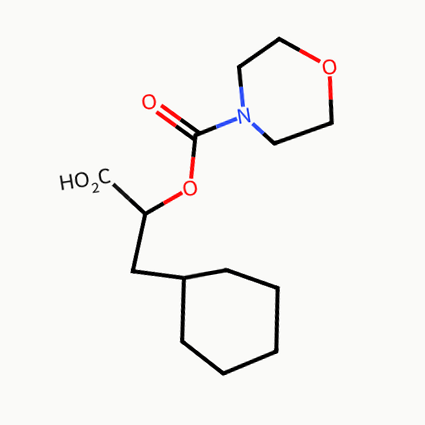 O=C(O)C(CC1CCCCC1)OC(=O)N1CCOCC1